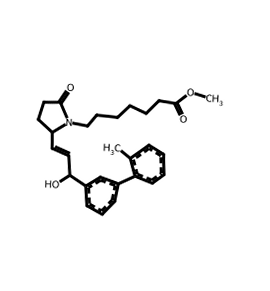 COC(=O)CCCCCCN1C(=O)CCC1C=CC(O)c1cccc(-c2ccccc2C)c1